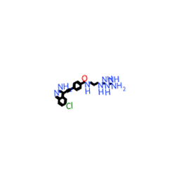 N=C(N)NC(=N)NCCCNC(=O)c1ccc(C#Cc2c(N)ncc3ccc(Cl)cc23)cc1